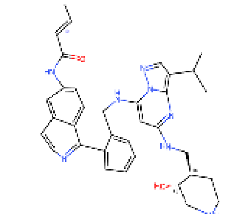 C/C=C/C(=O)Nc1ccc2c(-c3ccccc3CNc3cc(NC[C@H]4CCNC[C@@H]4O)nc4c(C(C)C)cnn34)nccc2c1